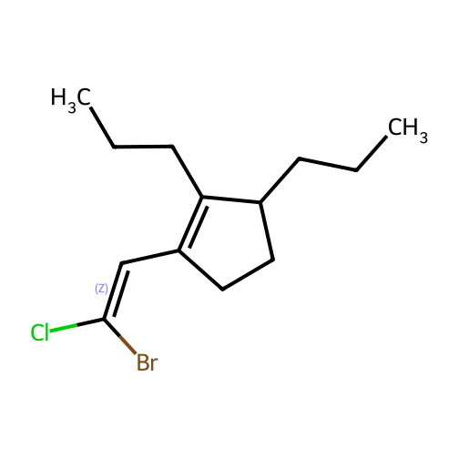 CCCC1=C(/C=C(/Cl)Br)CCC1CCC